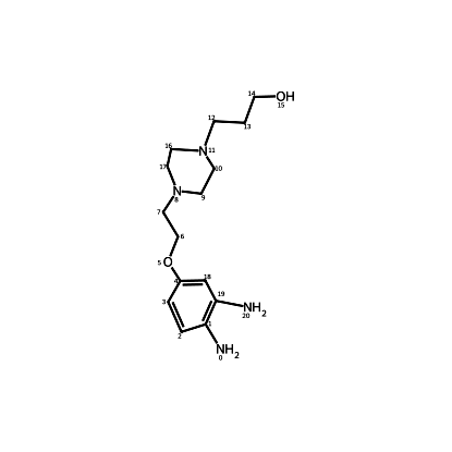 Nc1ccc(OCCN2CCN(CCCO)CC2)cc1N